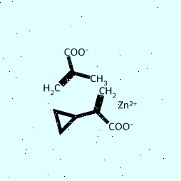 C=C(C(=O)[O-])C1CC1.C=C(C)C(=O)[O-].[Zn+2]